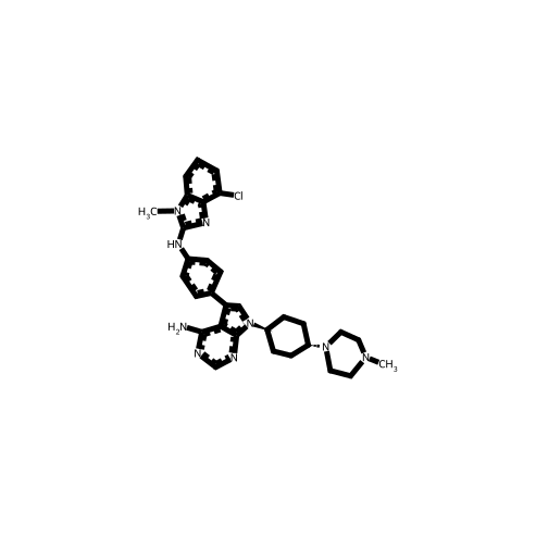 CN1CCN([C@H]2CC[C@H](n3cc(-c4ccc(Nc5nc6c(Cl)cccc6n5C)cc4)c4c(N)ncnc43)CC2)CC1